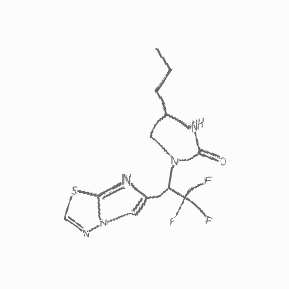 CCCC1CN(C(c2cn3ncsc3n2)C(F)(F)F)C(=O)N1